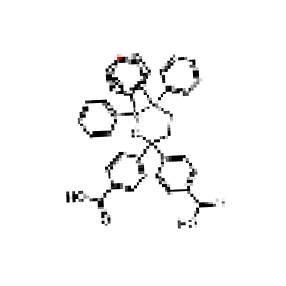 O=C(O)c1ccc(C2(c3ccc(C(=O)O)cc3)CC[Si](c3ccccc3)(c3ccccc3)[Si](c3ccccc3)(c3ccccc3)O2)cc1